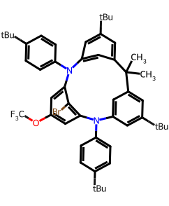 CC(C)(C)c1ccc(N2c3cc(C(C)(C)C)cc(c3)C(C)(C)c3cc(cc(C(C)(C)C)c3)N(c3ccc(C(C)(C)C)cc3)c3cc(OC(F)(F)F)cc2c3Br)cc1